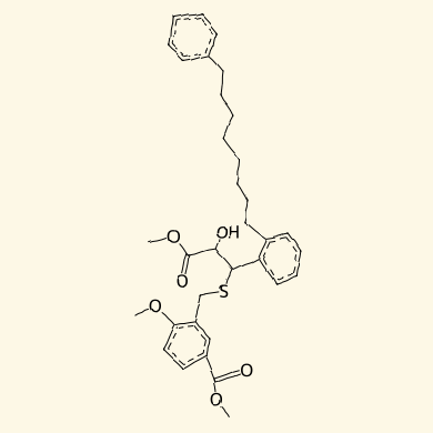 COC(=O)c1ccc(OC)c(CSC(c2ccccc2CCCCCCCCc2ccccc2)C(O)C(=O)OC)c1